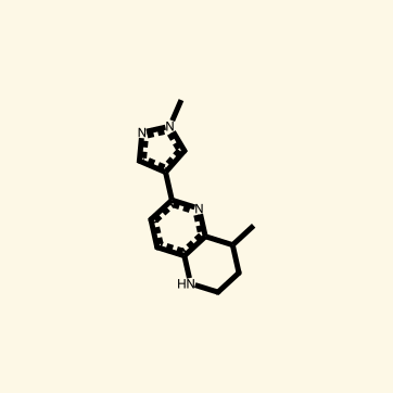 CC1CCNc2ccc(-c3cnn(C)c3)nc21